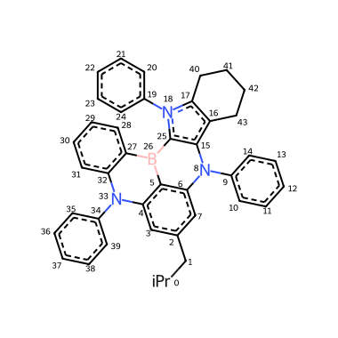 CC(C)Cc1cc2c3c(c1)N(c1ccccc1)c1c4c(n(-c5ccccc5)c1B3c1ccccc1N2c1ccccc1)CCCC4